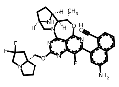 C#Cc1cccc2cc(N)cc(-c3nc4c5c(nc(OC[C@]67CCCN6CC(F)(F)C7)nc5c3F)N3C[C@H]5CC[C@H](N5)[C@H]3[C@H](C)O4)c12